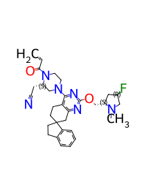 C=CC(=O)N1CCN(c2nc(OC[C@@H]3C[C@@H](F)CN3C)nc3c2CCC2(CCc4ccccc42)C3)C[C@@H]1CC#N